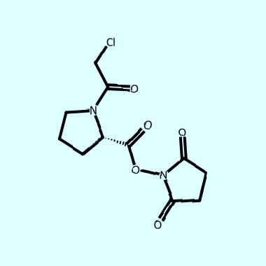 O=C(ON1C(=O)CCC1=O)[C@@H]1CCCN1C(=O)CCl